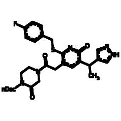 CCCCCCCCCCN1CCN(C(=O)Cn2cc(C(C)c3cn[nH]c3)c(=O)nc2SCc2ccc(F)cc2)CC1=O